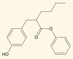 CCCCC(Cc1ccc(O)cc1)C(=O)Oc1ccccc1